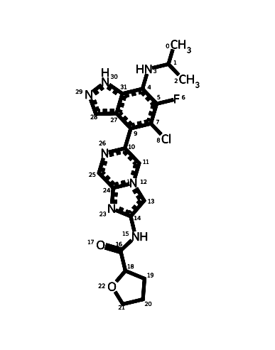 CC(C)Nc1c(F)c(Cl)c(-c2cn3cc(NC(=O)C4CCCO4)nc3cn2)c2cn[nH]c12